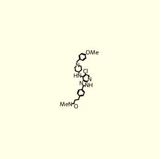 CNC(=O)CCc1ccc(-c2nc3c(NC4CCN(Cc5ccc(OC)cc5)CC4)c(Cl)cnc3[nH]2)cc1